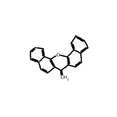 C=C1c2ccc3ccccc3c2Oc2c1ccc1ccccc21